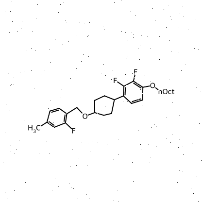 CCCCCCCCOc1ccc(C2CCC(OCc3ccc(C)cc3F)CC2)c(F)c1F